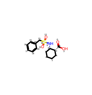 O=C(O)[C@@H]1CCCC[C@@H]1NS(=O)(=O)Cc1ccccc1